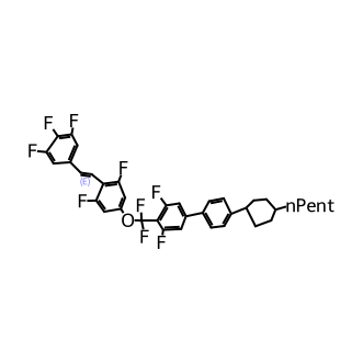 CCCCCC1CCC(c2ccc(-c3cc(F)c(C(F)(F)Oc4cc(F)c(/C=C/c5cc(F)c(F)c(F)c5)c(F)c4)c(F)c3)cc2)CC1